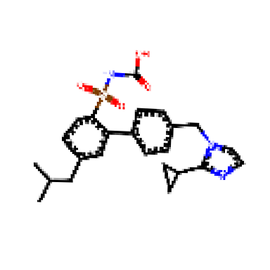 CC(C)Cc1ccc(S(=O)(=O)NC(=O)O)c(-c2ccc(Cn3ccnc3C3CC3)cc2)c1